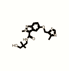 Cc1ncsc1COc1ccc2nn(C)c(C(=O)NCC(C)(C)CO)c2c1